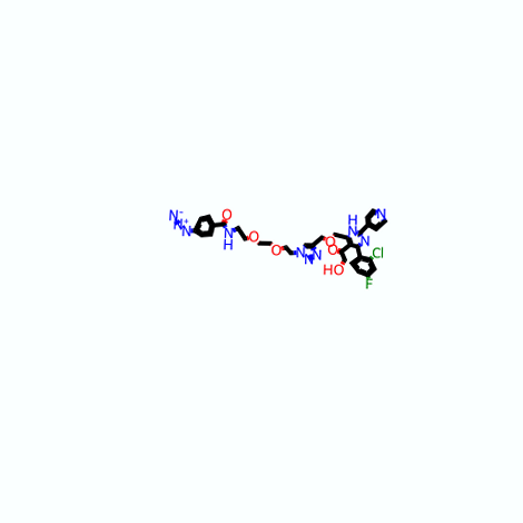 [N-]=[N+]=Nc1ccc(C(=O)NCCOCCOCCn2cc(COCC3=C(C(=O)CO)C(c4ccc(F)cc4Cl)N=C(c4ccncc4)N3)nn2)cc1